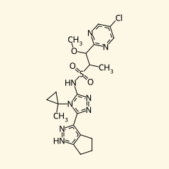 COC(c1ncc(Cl)cn1)C(C)S(=O)(=O)Nc1nnc(-c2n[nH]c3c2CCC3)n1C1(C)CC1